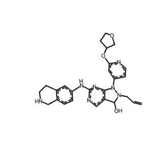 C=CCN1C(O)c2cnc(Nc3ccc4c(c3)CCNC4)nc2N1c1ccnc(OC2CCOC2)c1